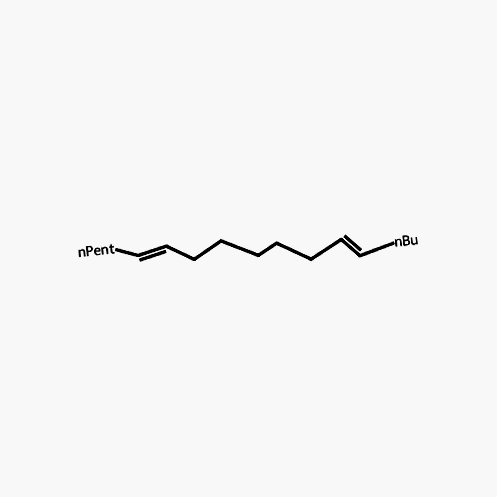 [CH2]CCCC=CCCCCCC=CCCCCC